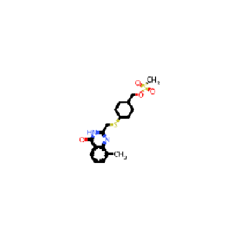 Cc1cccc2c(=O)[nH]c(CSC3CCC(COS(C)(=O)=O)CC3)nc12